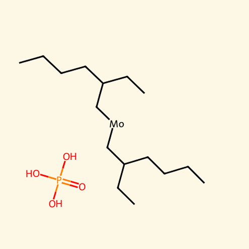 CCCCC(CC)[CH2][Mo][CH2]C(CC)CCCC.O=P(O)(O)O